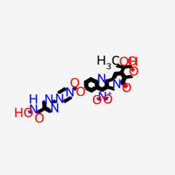 CC[C@@]1(O)C(=O)OCc2c1cc1n(c2=O)Cc2c-1nc1ccc(OC(=O)N3CCN(c4ncc(C(=O)NO)cn4)CC3)cc1c2[N+](=O)[O-]